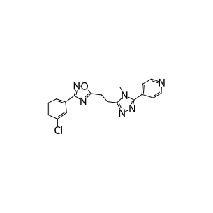 Cn1c(CCc2nc(-c3cccc(Cl)c3)no2)nnc1-c1ccncc1